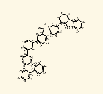 CC1(C)c2cc(C3=c4oc5ccccc5c4=CCC3)ccc2-c2ccc(-c3cccc(-c4cnc5c6ccccc6c6ccccc6c5n4)c3)cc21